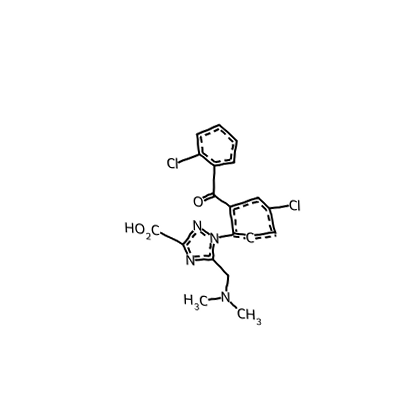 CN(C)Cc1nc(C(=O)O)nn1-c1ccc(Cl)cc1C(=O)c1ccccc1Cl